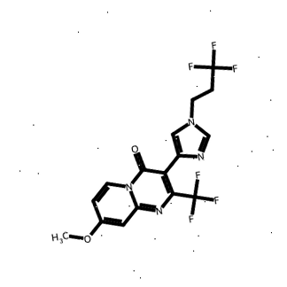 COc1ccn2c(=O)c(-c3cn(CCC(F)(F)F)cn3)c(C(F)(F)F)nc2c1